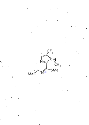 C=Nn1c(C(F)(F)F)cnc1/C(=N\CSC)SC